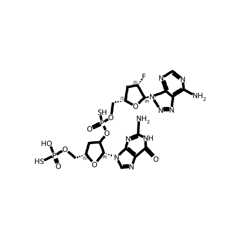 Nc1nc2c(ncn2[C@@H]2O[C@H](COP(=O)(O)S)CC2OP(=O)(S)OC[C@@H]2C[C@H](F)[C@H](n3nnc4c(N)ncnc43)O2)c(=O)[nH]1